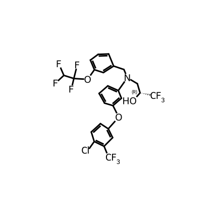 O[C@H](CN(Cc1cccc(OC(F)(F)C(F)F)c1)c1cccc(Oc2ccc(Cl)c(C(F)(F)F)c2)c1)C(F)(F)F